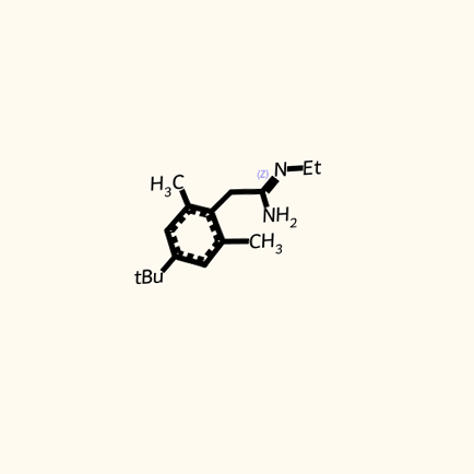 CC/N=C(\N)Cc1c(C)cc(C(C)(C)C)cc1C